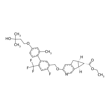 CCOC(=O)[C@H]1[C@@H]2Cc3cc(OCc4cc(-c5ccc(OCCC(C)(C)O)cc5C)c(C(F)(F)F)cc4F)ncc3[C@@H]21